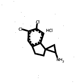 Cl.NC1CC12CCc1cc(Cl)c(Cl)cc12